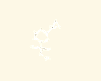 CCS(=O)(=O)c1cncc(C2CC2)c1